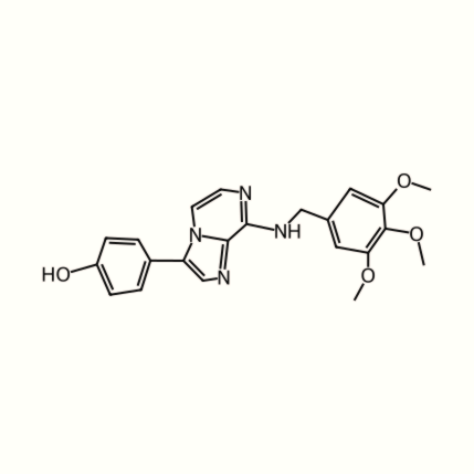 COc1cc(CNc2nccn3c(-c4ccc(O)cc4)cnc23)cc(OC)c1OC